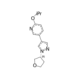 CC(C)Oc1ccc(-c2cnn([C@@H]3CCOC3)c2)cn1